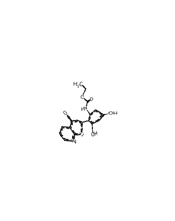 CCOC(=O)Nc1cc(O)cc(O)c1-c1cc(=O)c2cccnc2o1